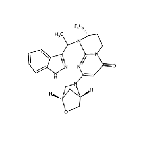 CC(c1n[nH]c2ccccc12)N1c2nc(N3C[C@@H]4C[C@H]3CO4)cc(=O)n2CC[C@H]1C(F)(F)F